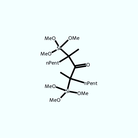 CCCCCC(C)(C(=O)C(C)(CCCCC)[Si](OC)(OC)OC)[Si](OC)(OC)OC